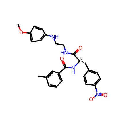 COc1ccc(NCCNC(=O)[C@H](Cc2ccc([N+](=O)[O-])cc2)NC(=O)c2cccc(C)c2)cc1